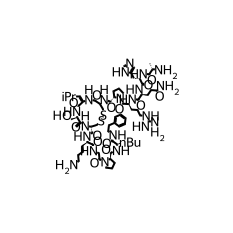 CCCC[C@H](NC(=O)[C@H]1CCCN1C(=O)CNC(=O)[C@@H](CCCCN)NC(=O)[C@H]1CSSC[C@H](NC(=O)[C@@H]2CCCN2C(=O)[C@H](CCCNC(=N)N)NC(=O)[C@H](CCC(N)=O)NC(=O)[C@H](Cc2cnc[nH]2)NC(=O)[C@H](C)N)C(=O)N/C(=C/C(C)C)C(=O)N[C@H](CO)C(=O)N1)C(=O)NCCc1ccccc1